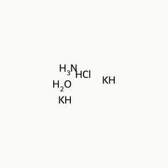 Cl.N.O.[KH].[KH]